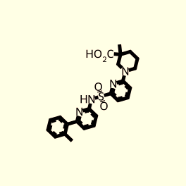 Cc1ccccc1-c1cccc(NS(=O)(=O)c2cccc(N3CCCC(C)(C(=O)O)C3)n2)n1